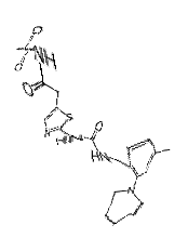 Cc1ccc(NC(=O)Nc2ncc(CC(=O)NS(C)(=O)=O)s2)c(N2CCCCC2)c1